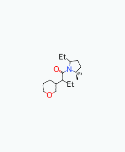 CCC(C(=O)N1C(CC)CC[C@H]1C)C1CCCOC1